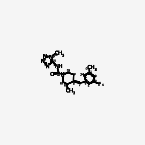 Cc1cc(F)cc(C=C2CCN(C(=O)Nc3nnnn3C)CC2C)c1